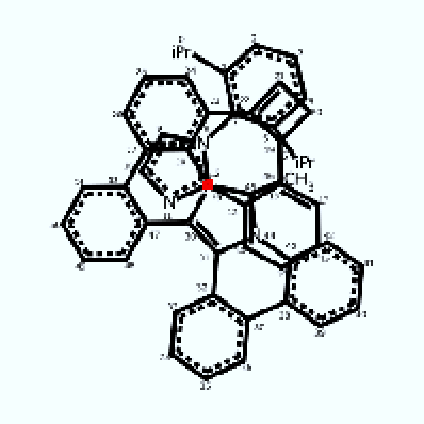 CC(C)c1cccc(C(C)C)c1-n1ccnc1C1=CCCC=C1C1CC=C1c1cccc2c1N1C(=C3c4ccccc4-c4ccccc4N3C1C)c1ccccc1-2